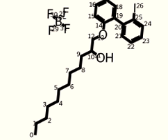 CCCCCCCCCCC(O)COc1ccccc1-c1ccccc1I.F[B-](F)(F)F